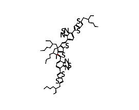 CCCCC(CC)Cc1cc2sc(-c3ccc(-c4cc5c(s4)-c4sc(-c6ccc(-c7cc8sc(CC(CC)CCCC)cc8s7)c7nsnc67)cc4C5(CC(CC)CCCC)CC(CC)CCCC)c4nsnc34)cc2s1